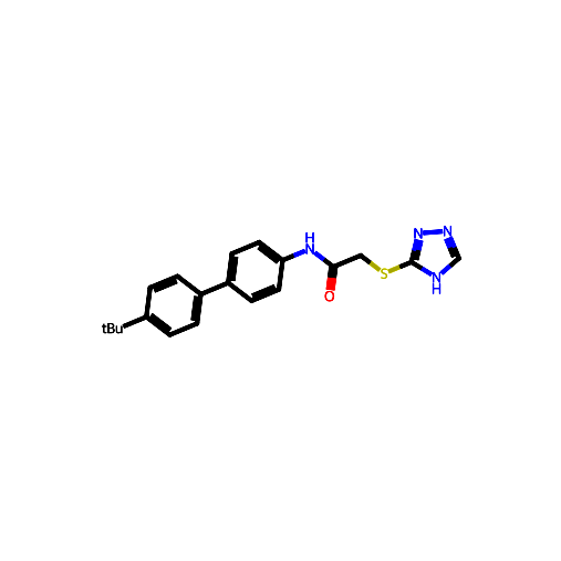 CC(C)(C)c1ccc(-c2ccc(NC(=O)CSc3nnc[nH]3)cc2)cc1